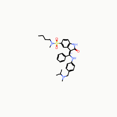 CCCCN(C)S(=O)(=O)c1ccc2c(c1)/C(=C(/Nc1ccc(CN(C)C(C)C)cc1)c1ccccc1)C(=O)N2